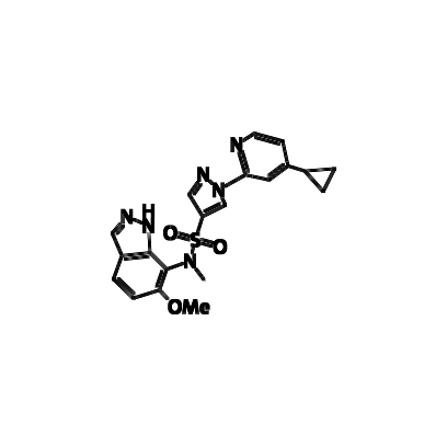 COc1ccc2cn[nH]c2c1N(C)S(=O)(=O)c1cnn(-c2cc(C3CC3)ccn2)c1